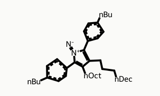 CCCCCCCCCCCCCC1=C(c2ccc(CCCC)cc2)[N+](=[N-])C(c2ccc(CCCC)cc2)=C1CCCCCCCC